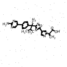 C=C(C(=O)O)n1cc(-c2nc(C(C)(c3ccc(-c4cnc(N)nc4)cc3)C(C)C)no2)cn1